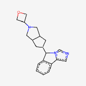 c1ccc2c(c1)-c1cncn1C2C1CC2CN(C3COC3)CC2C1